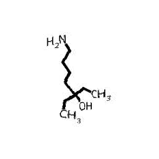 CCC(O)(CC)CCCCN